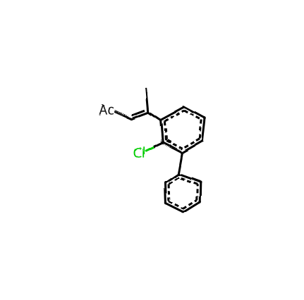 CC(=O)C=C(C)c1cccc(-c2ccccc2)c1Cl